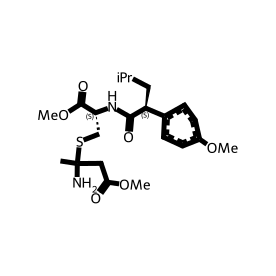 COC(=O)CC(C)(N)SC[C@@H](NC(=O)[C@@H](CC(C)C)c1ccc(OC)cc1)C(=O)OC